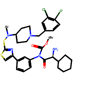 CC(=O)N(Sc1nc(-c2cccc(N(C(=O)OC(C)(C)C)C(=O)[C@@H](N)C3CCCCC3)c2)cs1)C1CCN(Cc2ccc(Cl)c(Cl)c2)CC1